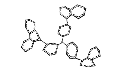 c1cc(-c2cc3ccccc3c3ccccc23)cc(N(c2ccc(-c3cccc4ccccc34)cc2)c2ccc(-c3cccc4ccccc34)cc2)c1